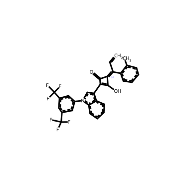 C=C/C(=C1\C(=O)C(c2cn(-c3cc(C(F)(F)F)cc(C(F)(F)F)c3)c3ccccc23)=C1O)c1ccccc1C